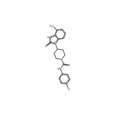 Cc1cccc2c1[nH]c(=O)n2C1CCN(C(=O)Nc2ccc(Cl)cc2)CC1